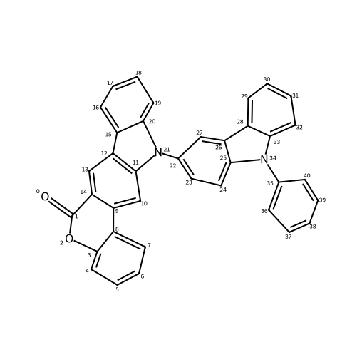 O=c1oc2ccccc2c2cc3c(cc12)c1ccccc1n3-c1ccc2c(c1)c1ccccc1n2-c1ccccc1